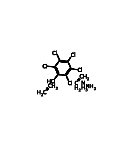 C=C.C=C.N.N.Oc1c(Cl)c(Cl)c(Cl)c(Cl)c1Cl